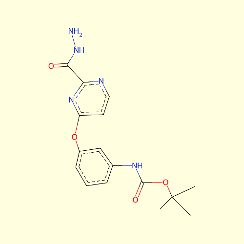 CC(C)(C)OC(=O)Nc1cccc(Oc2ccnc(C(=O)NN)n2)c1